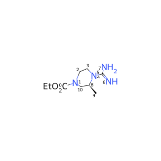 CCOC(=O)N1CCN(C(=N)N)[C@@H](C)C1